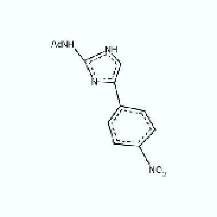 CC(=O)Nc1nc(-c2ccc([N+](=O)[O-])cc2)c[nH]1